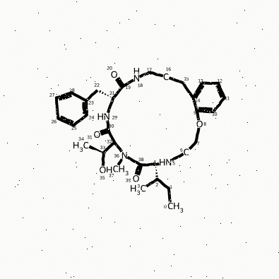 CCC(C)[C@H]1NCCOc2ccccc2CCCNC(=O)[C@@H](Cc2ccccc2)NC(=O)C([C@H](C)O)N(C)C1=O